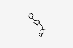 CC(C)(C=O)Cc1ccc(-c2ccccc2)cc1